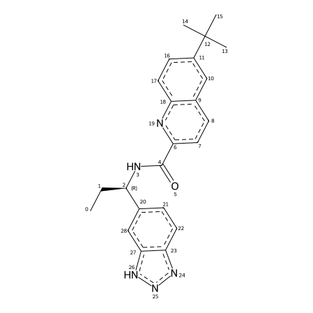 CC[C@@H](NC(=O)c1ccc2cc(C(C)(C)C)ccc2n1)c1ccc2nn[nH]c2c1